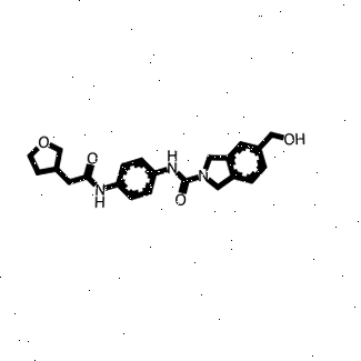 O=C(CC1CCOC1)Nc1ccc(NC(=O)N2Cc3ccc(CO)cc3C2)cc1